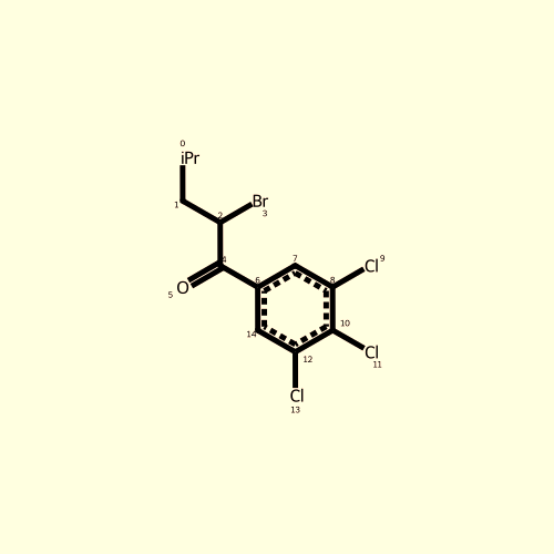 CC(C)CC(Br)C(=O)c1cc(Cl)c(Cl)c(Cl)c1